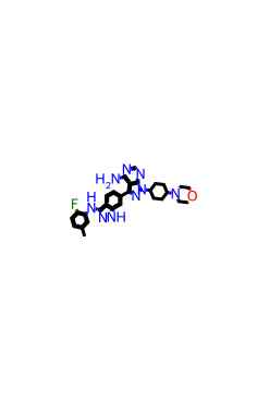 Cc1ccc(F)c(Nc2n[nH]c3cc(-c4nn(C5CCC(N6CCOCC6)CC5)c5ncnc(N)c45)ccc23)c1